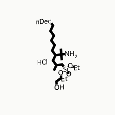 CCCCCCCCCCCCCCCCC(CC(C)C[Si](OCC)(OCC)OCCO)C(C)(C)N.Cl